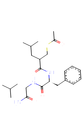 CC(=O)SCC(CC(C)C)C(=O)N[C@@H](Cc1ccccc1)C(=O)N[C@@H](CC(C)C)C(N)=O